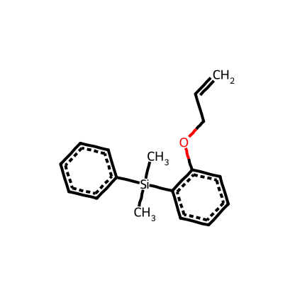 C=CCOc1ccccc1[Si](C)(C)c1ccccc1